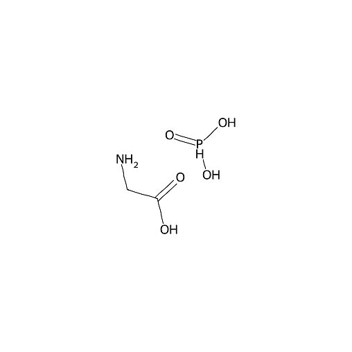 NCC(=O)O.O=[PH](O)O